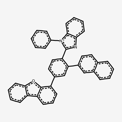 c1ccc(-n2c(-c3ccc(-c4cccc5c4oc4ccccc45)cc3-c3ccc4ccccc4c3)nc3ccccc32)cc1